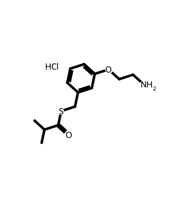 CC(C)C(=O)SCc1cccc(OCCN)c1.Cl